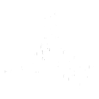 Cc1ccc(-c2cc3c(o2)=CC2=C(c4c(F)c(F)c(-c5c(F)c(F)cc(F)c5F)c(F)c4F)c4cc5oc(-c6ccc(C)s6)cc5n4[B-](F)(F)[N+]=32)s1